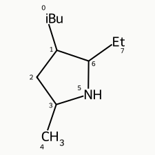 CCC(C)C1CC(C)NC1CC